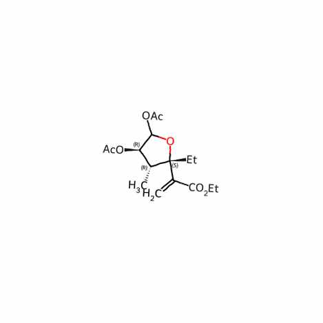 C=C(C(=O)OCC)[C@@]1(CC)OC(OC(C)=O)[C@H](OC(C)=O)[C@H]1C